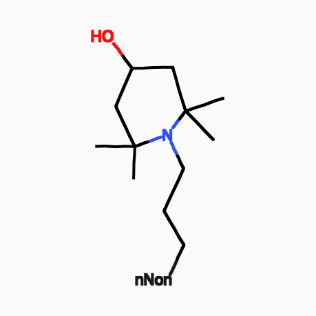 CCCCCCCCCCCCN1C(C)(C)CC(O)CC1(C)C